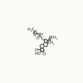 CON=C1C[C@@H](CCC(=O)Nc2ncc(C)s2)C2C3CCc4c(cc(Cl)c(O)c4Cl)C3CC[C@]12C